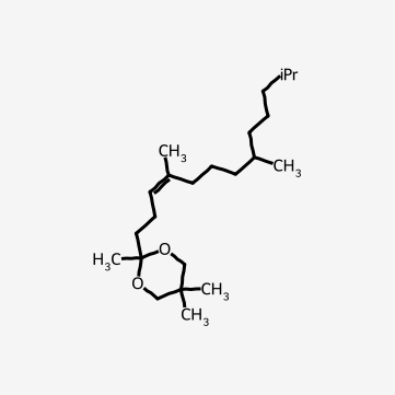 C/C(=C/CCC1(C)OCC(C)(C)CO1)CCCC(C)CCCC(C)C